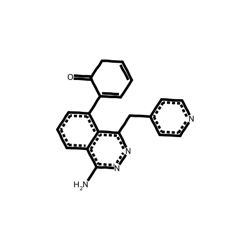 Nc1nnc(Cc2ccncc2)c2c(C3=CC=CCC3=O)cccc12